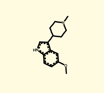 COc1ccc2[nH]cc(C3CCN(C)CC3)c2c1